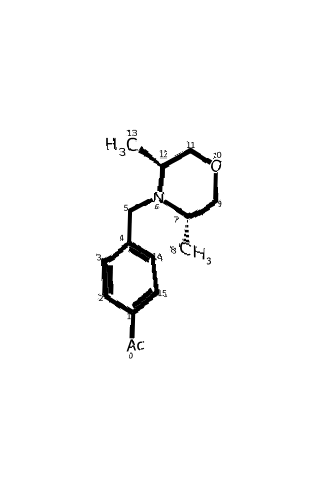 CC(=O)c1ccc(CN2[C@@H](C)COC[C@@H]2C)cc1